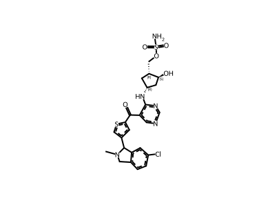 CN1Cc2ccc(Cl)cc2C1c1csc(C(=O)c2cncnc2N[C@@H]2C[C@H](COS(N)(=O)=O)[C@@H](O)C2)c1